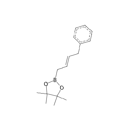 CC1(C)OB(CC=CCc2ccccc2)OC1(C)C